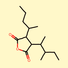 CCCC(C)C1C(=O)OC(=O)C1C(C)C(C)CC